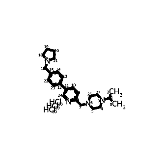 CC(C)N1CCN(Cc2ccc(-c3ccc(CN4CCCC4)cc3)cn2)CC1.Cl.Cl.Cl